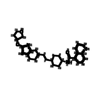 O=C(N[C@H]1CC[C@H](CCN2CCc3sc(O[C@@H]4CCOC4)nc3C2)CC1)c1cccc2ncccc12